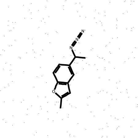 Cc1cc2cc(C(C)N=[N+]=[N-])ccc2o1